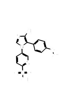 CS(=O)(=O)c1ccc(-n2cnc(Cl)c2-c2ccc(OC(F)(F)F)cc2)cn1